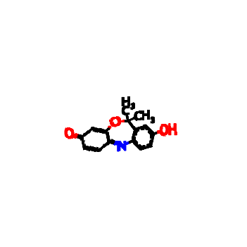 CC1(C)OC2=CC(=O)C=CC2=Nc2ccc(O)cc21